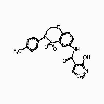 O=C(Nc1ccc2c(c1)S(=O)(=O)N(c1ccc(C(F)(F)F)cc1)CCO2)c1cccnc1O